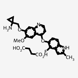 COc1cc2c(Oc3ccc4[nH]c(C)cc4c3F)ccnc2cc1OCC1(N)CC1.O=C(O)CCC(=O)O